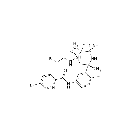 CC1(C)C(=N)N[C@](C)(c2cc(NC(=O)c3ccc(Cl)cn3)ccc2F)C[SH]1(=O)NCCF